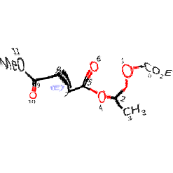 CCOC(=O)OC(C)OC(=O)/C=C/C(=O)OC